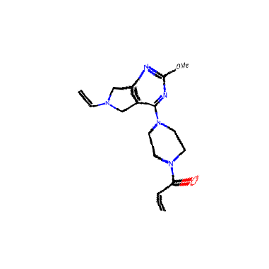 C=CC(=O)N1CCN(c2nc(OC)nc3c2CN(C=C)C3)CC1